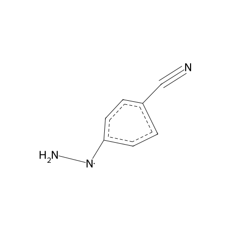 N#Cc1ccc([N]N)cc1